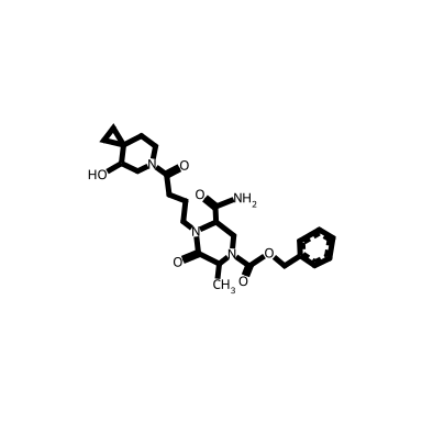 CC1C(=O)N(CCCC(=O)N2CCC3(CC3)C(O)C2)C(C(N)=O)CN1C(=O)OCc1ccccc1